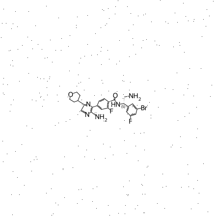 NC[C@@H](NC(=O)c1ccc(-c2nc(C3CCOCC3)cnc2N)cc1F)c1cc(F)cc(Br)c1